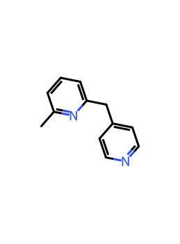 Cc1cccc(Cc2ccncc2)n1